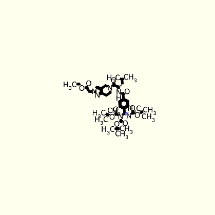 CCOC(=O)Cn1cc2c(n1)CCN(C(=O)[C@H](CC(C)C)NC(=O)c1ccc(/C(=N\C(=O)OC(C)(C)C)N(C(=O)OC(C)(C)C)C(=O)OC(C)(C)C)cc1)C2